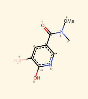 Bc1cc(C(=O)N(C)OC)cnc1O